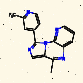 Cc1nc2cccnc2n2c(-c3ccnc(C(F)(F)F)c3)ncc12